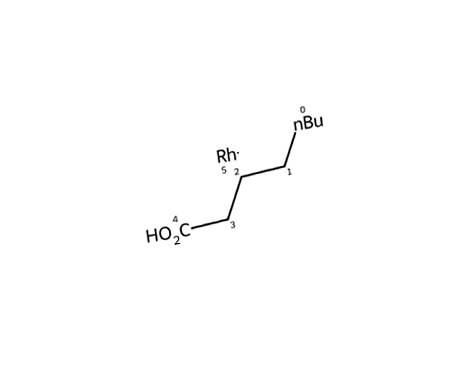 CCCCCCCC(=O)O.[Rh]